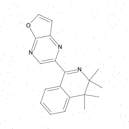 CC1(C)N=C(c2cnc3occc3n2)c2ccccc2C1(C)C